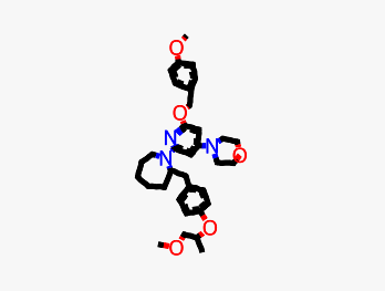 COCC(C)Oc1ccc(CC2CCCCCN2c2cc(N3CCOCC3)cc(OCc3ccc(OC)cc3)n2)cc1